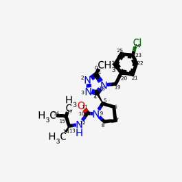 Cc1nnc([C@H]2CCCN2C(=O)N[C@@H](C)C(C)C)n1Cc1ccc(Cl)cc1